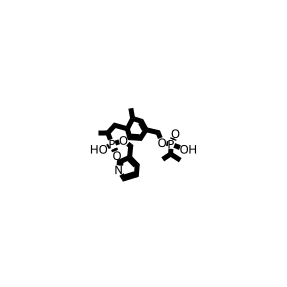 CC1C=C(COP(=O)(O)C(C)C)C=CC1CC(C)P(=O)(O)OCc1cccnc1